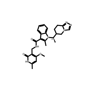 COc1cc(C)[nH]c(=O)c1CNC(=O)c1c(C)n([C@H](C)C2CCc3nncn3C2)c2ccccc12